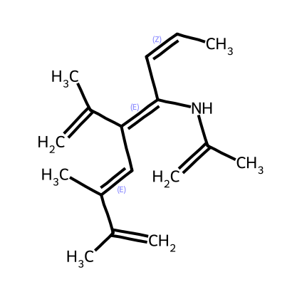 C=C(C)NC(/C=C\C)=C(\C=C(/C)C(=C)C)C(=C)C